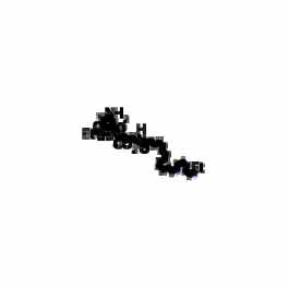 CC/C=C\C/C=C\C/C=C\C/C=C\C/C=C\C/C=C\CCC(=O)NCCCC[C@H](NC(=O)C1=C[C@@H](OC(CC)CC)[C@H](C)[C@@H](N)C1)C(=O)O